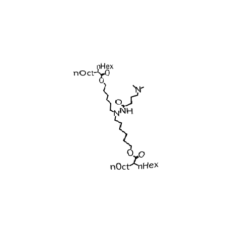 CCCCCCCCC(CCCCCC)C(=O)OCCCCCCN(CCCCCCOC(=O)C(CCCCCC)CCCCCCCC)NC(=O)CCCN(C)C